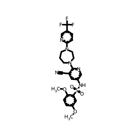 COc1ccc(OC)c(S(=O)(=O)Nc2cnc(N3CCCN(c4ccc(C(F)(F)F)cn4)CC3)c(C#N)c2)c1